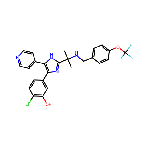 CC(C)(NCc1ccc(OC(F)(F)F)cc1)c1nc(-c2ccc(Cl)c(O)c2)c(-c2ccncc2)[nH]1